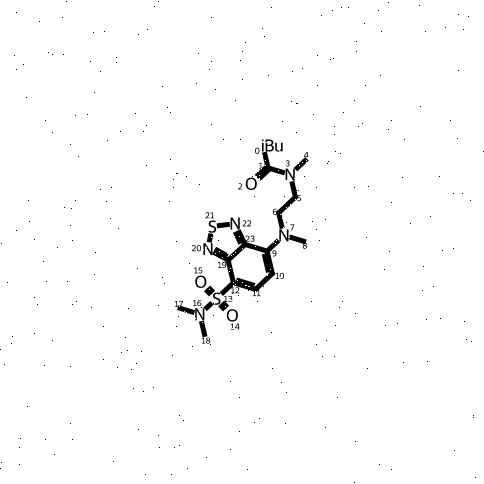 CCC(C)C(=O)N(C)CCN(C)c1ccc(S(=O)(=O)N(C)C)c2nsnc12